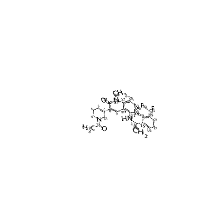 CC(=O)N1CCC=C(c2cc3c(N[C@H](C)c4cccc(C(F)F)c4)nncc3n(C)c2=O)C1